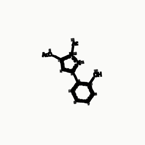 CC(=O)Oc1cc(-c2ccccc2O)nn1C(C)=O